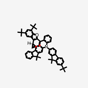 CC(C)(C)c1ccc2c(c1)C(C)(C)c1cc(N(c3ccc4c(c3)C(C)(C)c3ccccc3-4)c3ccccc3C3=CC4=C[C@H]4c4c3oc3c(C(C)(C)C)cc(C(C)(C)C)cc43)ccc1-2